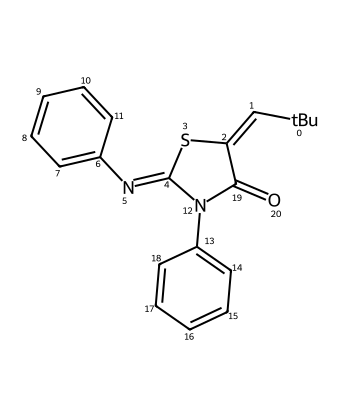 CC(C)(C)C=C1SC(=Nc2ccccc2)N(c2ccccc2)C1=O